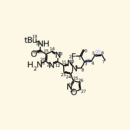 C=C(F)/C(=C\C=C/C)Cn1nc(-c2ncc(C(=O)NC(C)(C)C)c(N)n2)cc1-c1ccon1